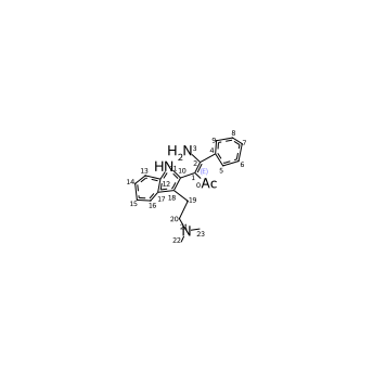 CC(=O)/C(=C(/N)c1ccccc1)c1[nH]c2ccccc2c1CCN(C)C